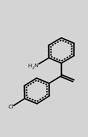 C=C(c1ccc(Cl)cc1)c1ccccc1N